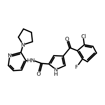 O=C(Nc1cccnc1N1CCCC1)c1cc(C(=O)c2c(F)cccc2Cl)c[nH]1